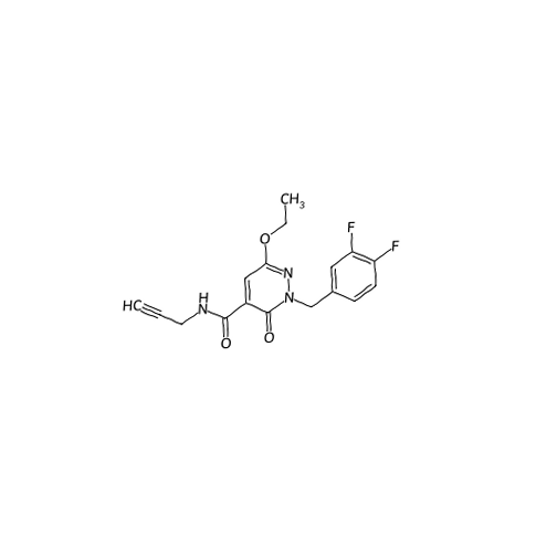 C#CCNC(=O)c1cc(OCC)nn(Cc2ccc(F)c(F)c2)c1=O